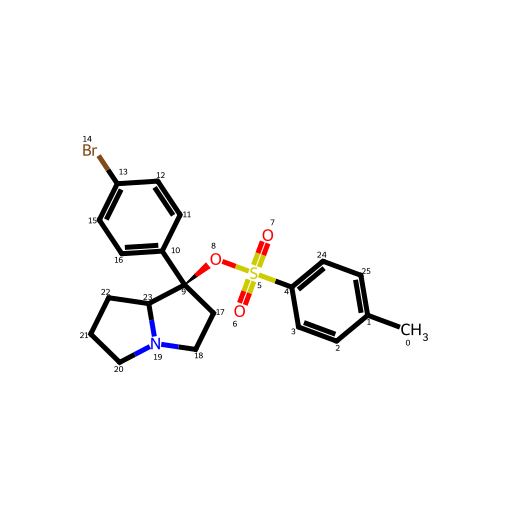 Cc1ccc(S(=O)(=O)O[C@@]2(c3ccc(Br)cc3)CCN3CCCC32)cc1